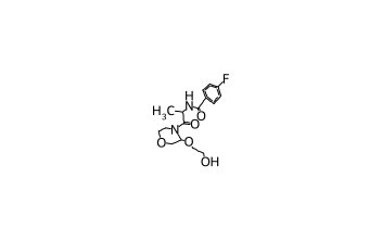 CC(NC(=O)c1ccc(F)cc1)C(=O)N1CCOCC1OCCO